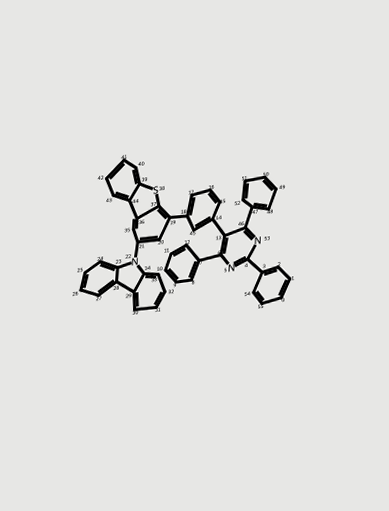 c1ccc(-c2nc(-c3ccccc3)c(-c3cccc(-c4cc(-n5c6ccccc6c6ccccc65)cc5c4sc4ccccc45)c3)c(-c3ccccc3)n2)cc1